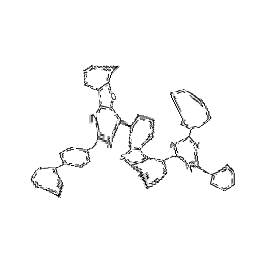 c1ccc(-c2ccc(-c3nc(-c4cccc5c4sc4cccc(-c6nc(-c7ccccc7)nc(-c7ccccc7)n6)c45)c4oc5ccccc5c4n3)cc2)cc1